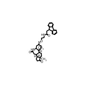 C[C@]12CC/C(=N\OCCNC(=O)CC3c4ccccc4-c4ccccc43)CC1NC(=O)C[C@@H]1[C@@H]2CC[C@]2(C)C(=O)CC[C@@H]12